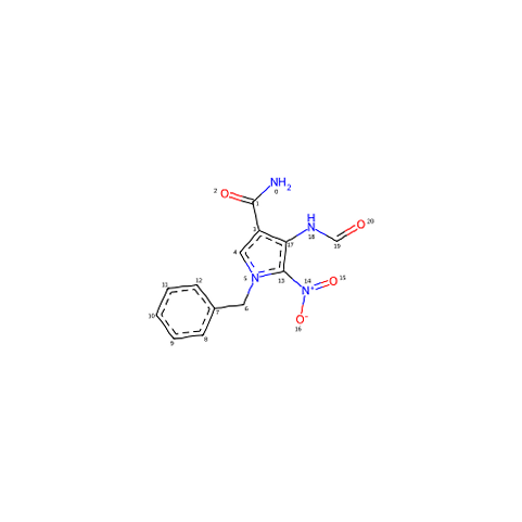 NC(=O)c1cn(Cc2ccccc2)c([N+](=O)[O-])c1NC=O